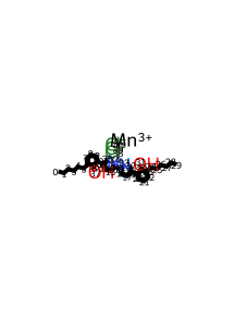 CCCCCCc1cccc(-c2ccc(-c3ccc(-c4cccc(CCCCCC)c4O)cn3)nc2)c1O.[Cl-].[Cl-].[Cl-].[Mn+3]